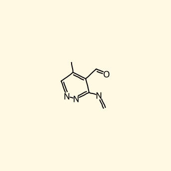 C=Nc1nncc(C)c1C=O